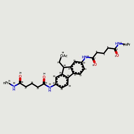 CCCNC(=O)CCCC(=O)Nc1ccc2c(c1)C(COC(C)=O)c1cc(NC(=O)CCCC(=O)NCCC)ccc1-2